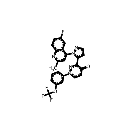 Cc1cc(-n2nccc2-c2nn(-c3cccc(OC(F)(F)F)c3)ccc2=O)c2cc(F)ccc2n1